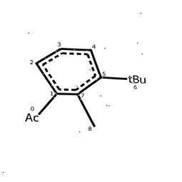 CC(=O)c1cccc(C(C)(C)C)c1C